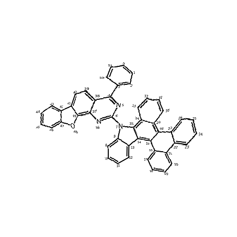 c1ccc(-c2nc(-n3c4ccccc4c4c5c6ccccc6c6ccccc6c5c5ccccc5c43)nc3c2ccc2c4ccccc4oc23)cc1